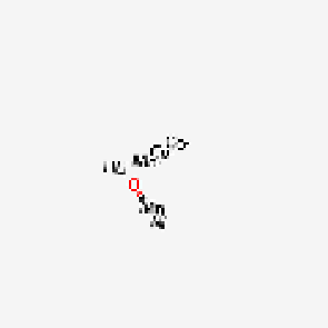 [Co].[Co].[LiH].[Mn].[Ni].[O]=[Mn]